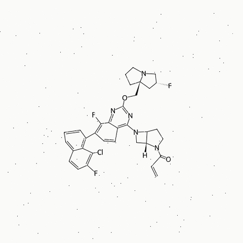 C=CC(=O)N1CCC2[C@H]1CN2c1nc(OC[C@@]23CCCN2C[C@H](F)C3)nc2c(F)c(-c3cccc4ccc(F)c(Cl)c34)ccc12